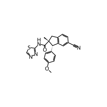 COc1ccc([C@H]2c3cc(C#N)ccc3C[C@@]2(C)C(=O)Nc2nncs2)cc1